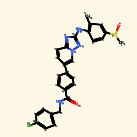 Cc1cc([S+](C)[O-])ccc1Nc1nc2ccc(-c3ccc(C(=O)NCc4ccc(Cl)cc4)cc3)cn2n1